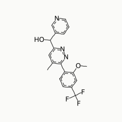 COc1cc(C(F)(F)F)ccc1-c1nnc(C(O)c2cccnc2)cc1C